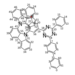 c1ccc(-c2ccc(-c3nc(-c4ccccc4)nc(-c4cc(-c5ccccc5)cc(-n5c6ccccc6c6cccc(-n7c8ccccc8c8ccccc87)c65)c4)n3)cc2)cc1